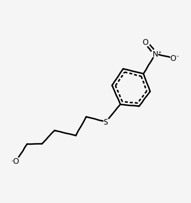 [O]CCCCCSc1ccc([N+](=O)[O-])cc1